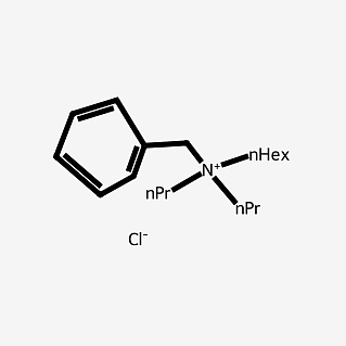 CCCCCC[N+](CCC)(CCC)Cc1ccccc1.[Cl-]